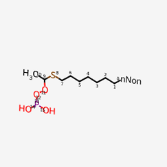 CCCCCCCCCCCCCCCCSC(C)OOP(O)O